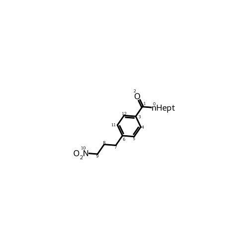 CCCCCCCC(=O)c1ccc(CCC[N+](=O)[O-])cc1